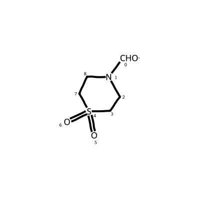 O=[C]N1CCS(=O)(=O)CC1